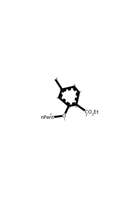 CCCCCOc1cc(C)ccc1C(=O)OCC